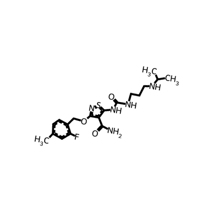 Cc1ccc(COc2nsc(NC(=O)NCCCNC(C)C)c2C(N)=O)c(F)c1